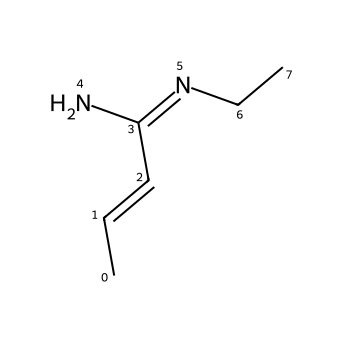 C/C=C/C(N)=N\CC